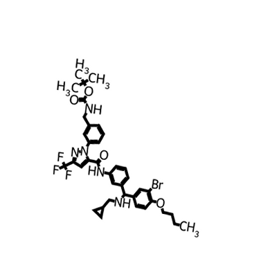 CCCCOc1ccc(C(NCC2CC2)c2cccc(NC(=O)c3cc(C(F)(F)F)nn3-c3cccc(CNC(=O)OC(C)(C)C)c3)c2)cc1Br